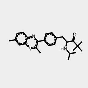 Cc1ccc2nc(-c3ccc(CC(NC(C)C)C(=O)C(C)(C)C)cc3)c(C)nc2c1